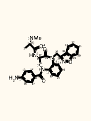 CN[C@@H](C)C(=O)N[C@H]1CN(C(=O)c2ccc(N)cc2)c2ccccc2N(Cc2noc3ccccc23)C1=O